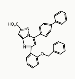 O=C(O)c1cc2nc(-c3ccccc3OCc3ccccc3)cc(-c3ccc(-c4ccccc4)cc3)n2n1